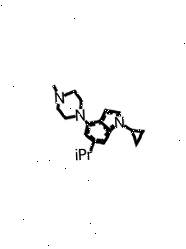 CC(C)c1cc(N2CCN(C)CC2)c2ccn(C3CC3)c2c1